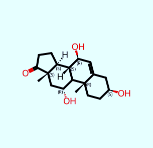 C[C@]12CC[C@H](O)CC1=C[C@H](O)[C@@H]1C2[C@H](O)C[C@]2(C)C(=O)CC[C@@H]12